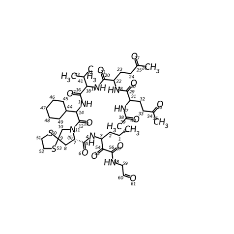 CCCC(NC(=O)[C@@H]1CC2(CN1C(=O)C(NC(=O)C(NC(=O)C(CCC(C)=O)NC(=O)C(CCC(C)=O)NC(C)=O)C(C)C)C1CCCCC1)SCCS2)C(=O)C(=O)NCC=O